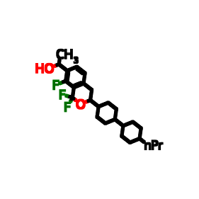 CCCC1CCC(C2CCC(C3Cc4ccc(C(C)O)c(F)c4C(F)(F)O3)CC2)CC1